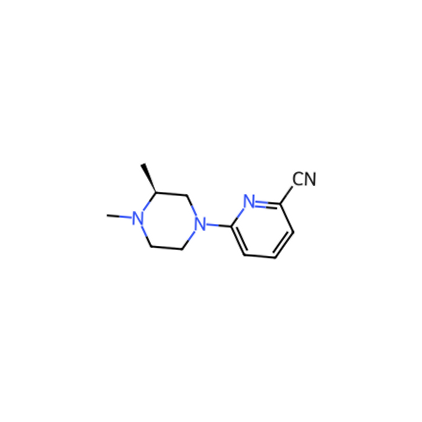 C[C@H]1CN(c2cccc(C#N)n2)CCN1C